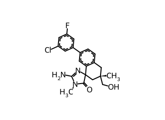 CN1C(=O)C2(C[C@@](C)(CO)Cc3ccc(-c4cc(F)cc(Cl)c4)cc32)N=C1N